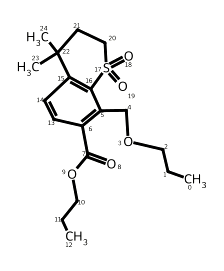 CCCOCc1c(C(=O)OCCC)ccc2c1S(=O)(=O)CCC2(C)C